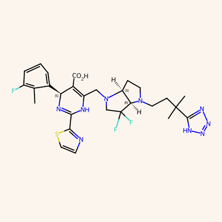 Cc1c(F)cccc1[C@@H]1N=C(c2nccs2)NC(CN2CC(F)(F)[C@H]3[C@@H]2CCN3CCC(C)(C)c2nnn[nH]2)=C1C(=O)O